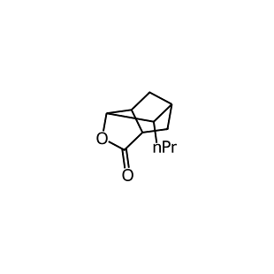 CCCC1C2CC3C(=O)OC1C3C2